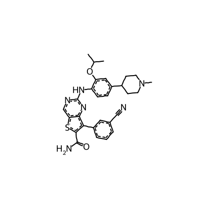 CC(C)Oc1cc(C2CCN(C)CC2)ccc1Nc1ncc2sc(C(N)=O)c(-c3cccc(C#N)c3)c2n1